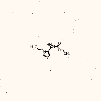 CCCn1cncc1C1NN1C(=O)OCC